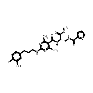 COC(=O)[C@H](CNC(=O)c1cccs1)NC(=O)c1c(C)nc(NCCCc2ccc(F)c(O)c2)nc1C